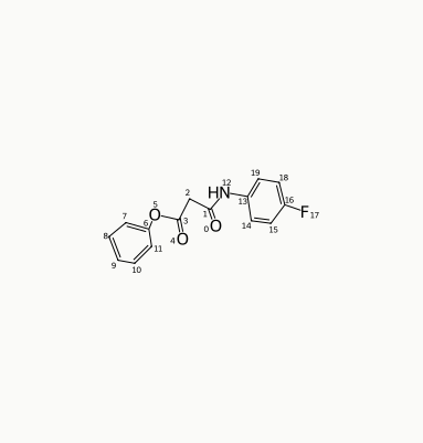 O=C(CC(=O)Oc1ccccc1)Nc1ccc(F)cc1